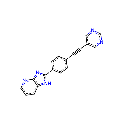 C(#Cc1cncnc1)c1ccc(-c2nc3ncccc3[nH]2)cc1